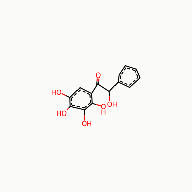 O=C(c1cc(O)c(O)c(O)c1O)C(O)c1ccccc1